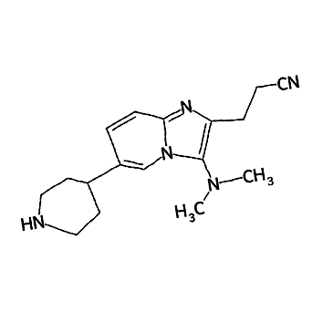 CN(C)c1c(CCC#N)nc2ccc(C3CCNCC3)cn12